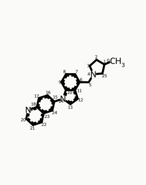 CC1CCN(Cc2cccc3c2ccn3-c2ccc3ncccc3c2)C1